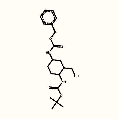 CC(C)(C)OC(=O)NC1CCC(NC(=O)OCc2ccccc2)CC1CO